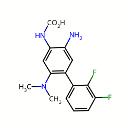 CN(C)c1cc(NC(=O)O)c(N)cc1-c1cccc(F)c1F